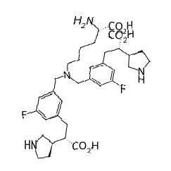 N[C@@H](CCCCN(Cc1cc(F)cc(C[C@H](C(=O)O)[C@H]2CCNC2)c1)Cc1cc(F)cc(C[C@H](C(=O)O)[C@H]2CCNC2)c1)C(=O)O